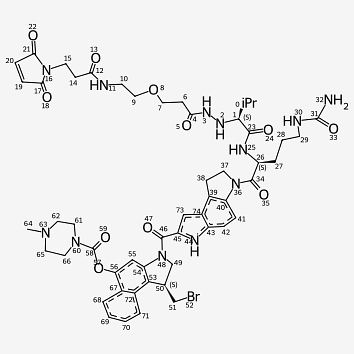 CC(C)[C@H](NNC(=O)CCOCCNC(=O)CCN1C(=O)C=CC1=O)C(=O)N[C@@H](CCCNC(N)=O)C(=O)N1CCc2c1ccc1[nH]c(C(=O)N3C[C@@H](CBr)c4c3cc(OC(=O)N3CCN(C)CC3)c3ccccc43)cc21